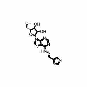 OC[C@H]1O[C@@H](n2cnc3c(N/N=C/c4cncs4)ncnc32)C(O)C1O